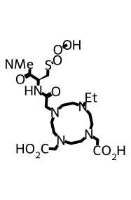 CCN1CCN(CC(=O)O)CCN(CC(=O)O)CCN(CC(=O)N[C@H](CSOOO)C(=O)NC)CC1